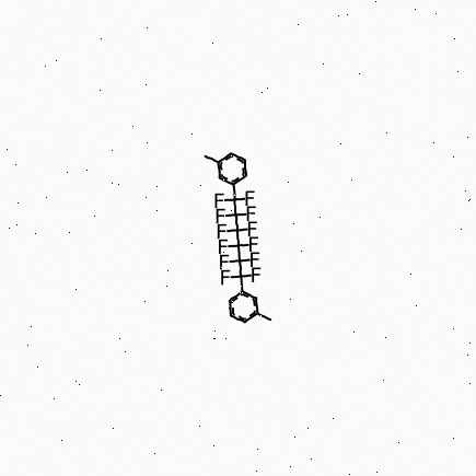 Cc1cccc(C(F)(F)C(F)(F)C(F)(F)C(F)(F)C(F)(F)C(F)(F)c2cccc(C)c2)c1